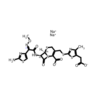 CO/N=C(\C(=O)N[C@@H]1C(=O)N2C(C(=O)[O-])=C(CSc3nc(C)c(CC(=O)[O-])s3)CS[C@H]12)c1csc(N)n1.[Na+].[Na+]